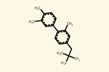 Cc1ccc(-c2ccc(CC(C)(C)C(F)(F)F)cc2C)cc1C